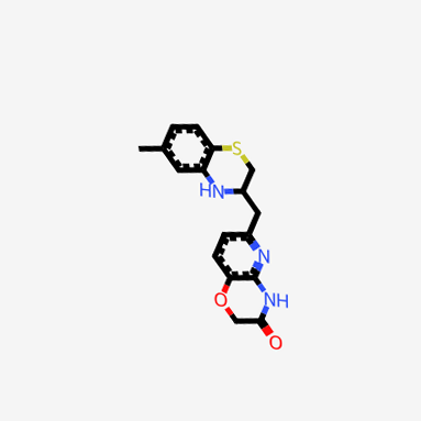 Cc1ccc2c(c1)NC(Cc1ccc3c(n1)NC(=O)CO3)CS2